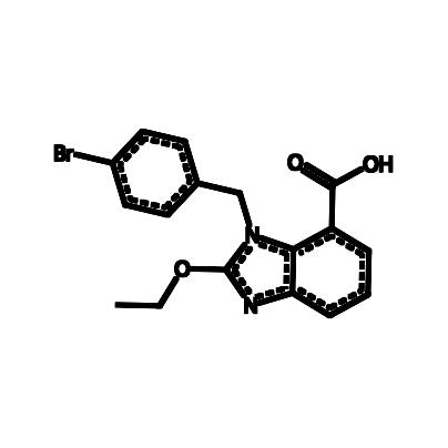 CCOc1nc2cccc(C(=O)O)c2n1Cc1ccc(Br)cc1